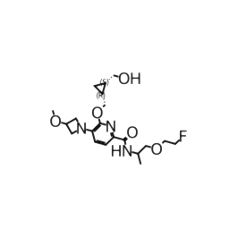 COC1CN(c2ccc(C(=O)NC(C)COCCF)nc2OC[C@@H]2C[C@@H]2CO)C1